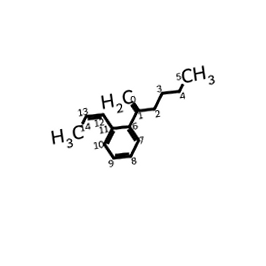 C=C(CCCC)c1ccccc1/C=C\C